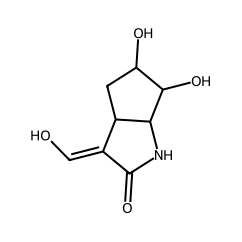 O=C1NC2C(CC(O)C2O)/C1=C\O